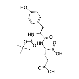 CC(C)(C)OC(=O)N[C@@H](Cc1ccc(O)cc1)C(=O)N[C@@H](CCC(=O)O)C(=O)O